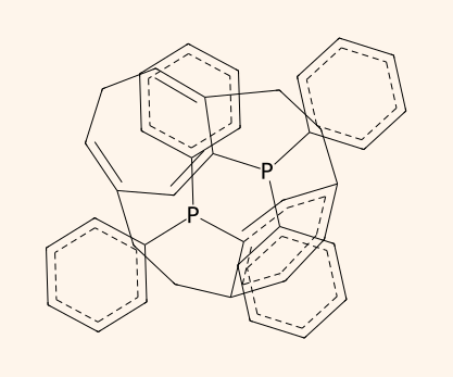 C1=C2C=C(P(c3ccccc3)c3ccccc3)C(=CC1)CCc1ccc(c(P(c3ccccc3)c3ccccc3)c1)CC2